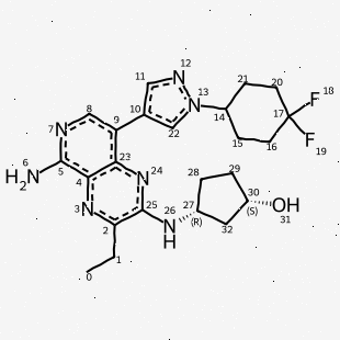 CCc1nc2c(N)ncc(-c3cnn(C4CCC(F)(F)CC4)c3)c2nc1N[C@@H]1CC[C@H](O)C1